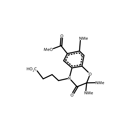 CNc1cc2c(cc1C(=O)OC)N(CCCC(=O)O)C(=O)C(NC)(NC)O2